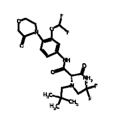 CC(C)(C)CN(CC(F)(F)F)[C@@H](C(N)=O)C(=O)Nc1ccc(N2CCOCC2=O)c(OC(F)F)c1